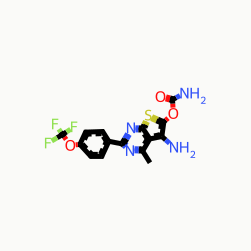 Cc1nc(-c2ccc(OC(F)(F)F)cc2)nc2sc(OC(N)=O)c(N)c12